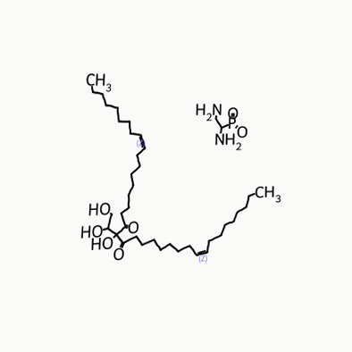 CCCCCCCC/C=C\CCCCCCCC(=O)C(O)(C(=O)CCCCCCC/C=C\CCCCCCCC)C(O)CO.NCC(N)P(=O)=O